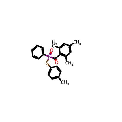 Cc1ccc(SP(=O)(C(=O)c2c(C)cc(C)cc2C)c2ccccc2)cc1